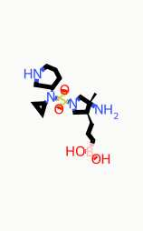 C[C@]1(N)CN(S(=O)(=O)N(C2CC2)[C@@H]2CCCNC2)C[C@@H]1CCCB(O)O